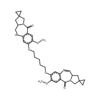 COc1cc2c(cc1OCCCCCOc1cc3c(cc1OC)C(=O)N1CC4(CC4)CC1CN3)N=CC1CC3(CC3)CN1C2=O